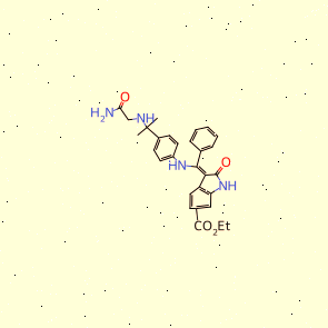 CCOC(=O)c1ccc2c(c1)NC(=O)/C2=C(/Nc1ccc(C(C)(C)NCC(N)=O)cc1)c1ccccc1